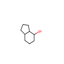 OC1CCCC2CCCC12